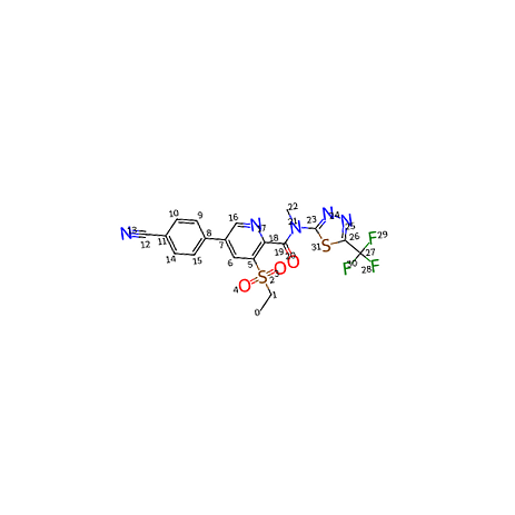 CCS(=O)(=O)c1cc(-c2ccc(C#N)cc2)cnc1C(=O)N(C)c1nnc(C(F)(F)F)s1